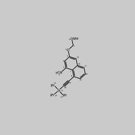 COCOc1cc(N)c2c(C#C[Si](C(C)C)(C(C)C)C(C)C)cccc2c1